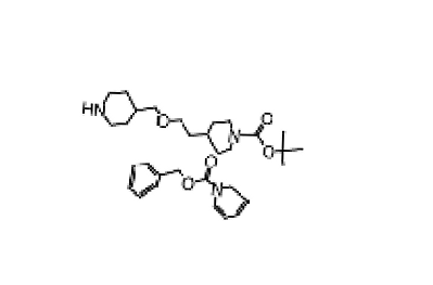 CC(C)(C)OC(=O)N1CCC(CCOCC2CCNCC2)CC1.O=C(OCc1ccccc1)N1C=CC=CC1